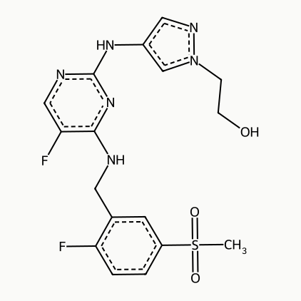 CS(=O)(=O)c1ccc(F)c(CNc2nc(Nc3cnn(CCO)c3)ncc2F)c1